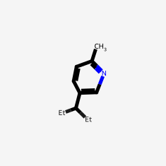 CCC(CC)c1ccc(C)nc1